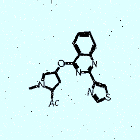 CC(=O)C1CC(Oc2nc(-c3cscn3)nc3ccccc23)CN1C